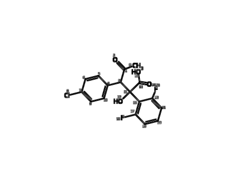 CC(=O)C(c1ccc(Cl)cc1)C(O)(C(=O)O)c1c(F)cccc1F